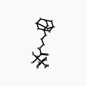 O=C(OCCCC12CC3CC(CC(C3)C1)C2)C(F)(F)S(=O)(=O)O